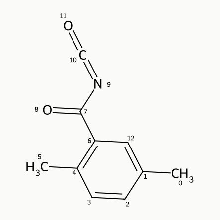 Cc1ccc(C)c(C(=O)N=C=O)c1